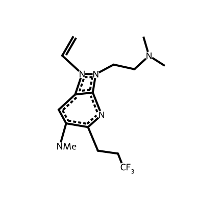 C=Cn1c2cc(NC)c(CCC(F)(F)F)nc2n1CCN(C)C